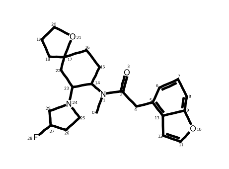 CN(C(=O)Cc1cccc2occc12)C1CCC2(CCCO2)CC1N1CCC(F)C1